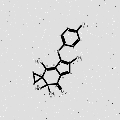 CC1=C(Sc2ccc(C)cc2)C2=C(C)C3(CC3)[C@@](C)(O)C(=O)C2=C1